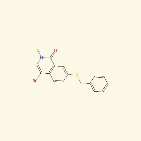 Cn1cc(Br)c2ccc(SCc3ccccc3)cc2c1=O